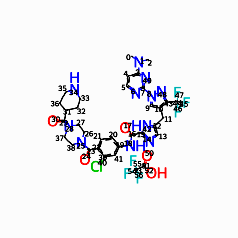 CN(C)c1ccnc(-n2cc(Cc3cnc(C(=O)Nc4ccc(C(=O)N5CCN(C(=O)C6CCNCC6)CC5)c(Cl)c4)[nH]3)c(C(F)(F)F)n2)n1.O=C(O)C(F)(F)F